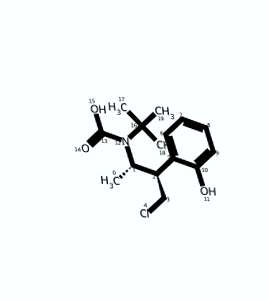 C[C@@H]([C@H](CCl)c1ccccc1O)N(C(=O)O)C(C)(C)C